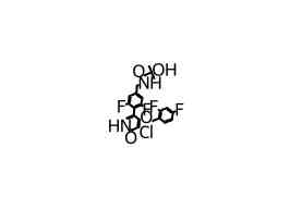 CC(C)(O)C(=O)NCc1cc(F)c(-c2c[nH]c(=O)c(Cl)c2OCc2ccc(F)cc2F)c(F)c1